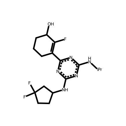 CC(C)Nc1nc(NC2CCC(F)(F)C2)nc(C2=C(F)C(O)CCC2)n1